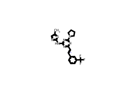 Cc1cnc(Nc2nc(/C=C/c3cccc(C(F)(F)F)c3)nc(N3CCCC3)n2)s1